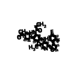 C=CC(=O)Nc1cc(Nc2cc(N3OCCC3c3ccc(F)cc3F)ncn2)c(OC)cc1N1CCN(C(C)=O)CC1